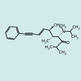 CC(C)C(=O)[C@H]([C@H](C)[C@H](C)/C=C/C#Cc1ccccc1)N(C)C(C)C